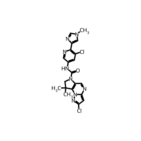 Cn1cnc(-c2ncc(NC(=O)N3CC(C)(C)c4c3cnc3cc(Cl)nn43)cc2Cl)c1